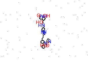 O=C(O)N(c1cc(CCCCn2nc3ccc(CNC[C@H](O)c4ccc(O)c5[nH]c(=O)ccc45)cc3n2)ccc1-c1ccccc1)C1CN2CCC1CC2